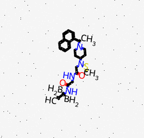 BC(B)(C#C)NC(=O)CNC(=O)CN(SC)C1CCN(C(C)c2cccc3ccccc23)CC1